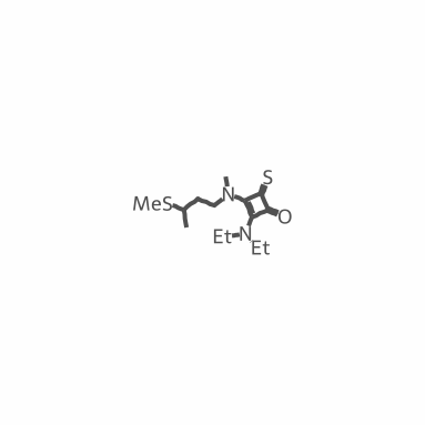 CCN(CC)c1c(N(C)CCC(C)SC)c(=S)c1=O